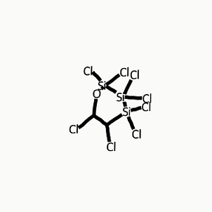 ClC1O[Si](Cl)(Cl)[Si](Cl)(Cl)[Si](Cl)(Cl)C1Cl